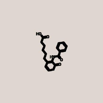 O=C(O)CCCCCC1=C(NC(=O)c2ccccc2)C(=O)CC=C1